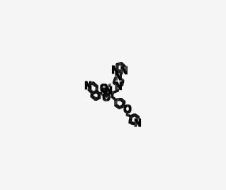 CN(C(Cc1ccc(OCc2ccncc2)cc1)CN1CCN(c2ncccn2)CC1)S(=O)(=O)c1cccc2cnccc12